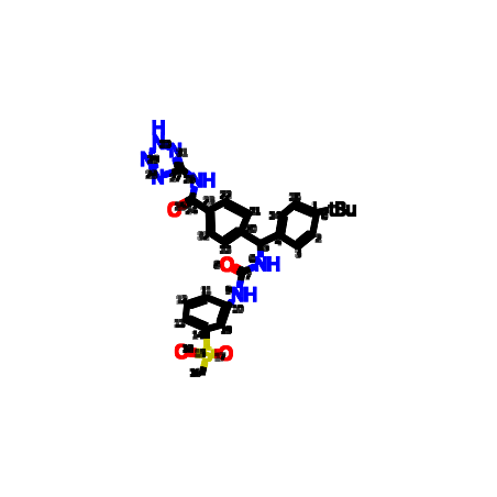 CC(C)(C)c1ccc(C(NC(=O)Nc2cccc(S(C)(=O)=O)c2)c2ccc(C(=O)Nc3nn[nH]n3)cc2)cc1